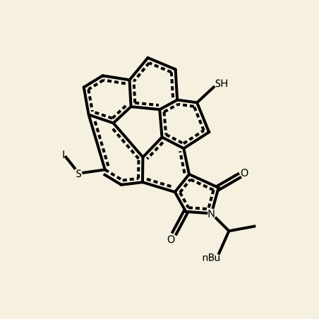 CCCCC(C)n1c(=O)c2c3cc(S)c4ccc5ccc6c(SI)cc(c2c1=O)c1c6c5c4c31